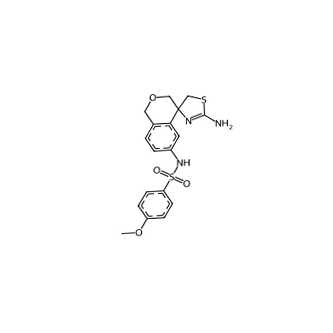 COc1ccc(S(=O)(=O)Nc2ccc3c(c2)C2(COC3)CSC(N)=N2)cc1